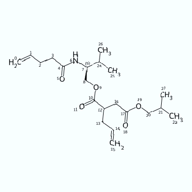 C=CCCC(=O)N[C@H](COC(=O)C(CC=C)CC(=O)OCC(C)C)C(C)C